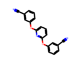 N#Cc1cccc(Oc2cccc(Oc3cccc(C#N)c3)n2)c1